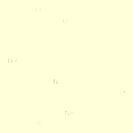 Cc1cc2c(=O)[nH]c3cc(Cl)ccc3n2c1CCC(=O)O